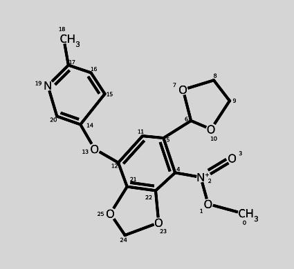 CO[N+](=O)c1c(C2OCCO2)cc(Oc2ccc(C)nc2)c2c1OCO2